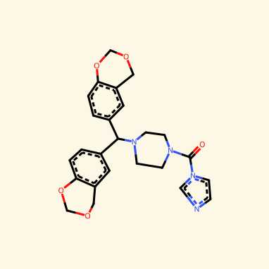 O=C(N1CCN(C(c2ccc3c(c2)COCO3)c2ccc3c(c2)COCO3)CC1)n1ccnc1